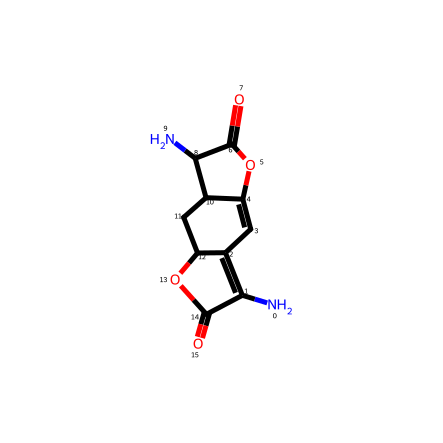 NC1=C2C=C3OC(=O)C(N)C3CC2OC1=O